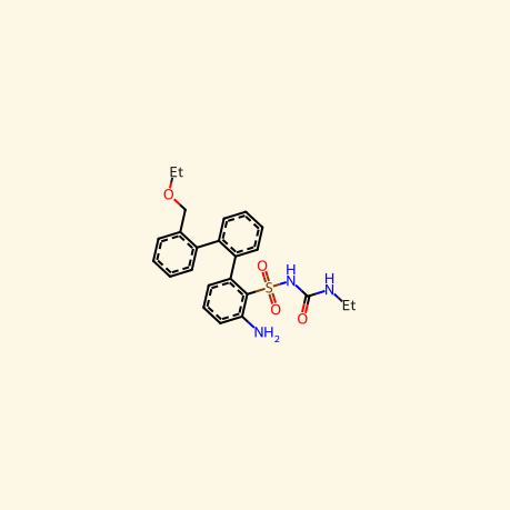 CCNC(=O)NS(=O)(=O)c1c(N)cccc1-c1ccccc1-c1ccccc1COCC